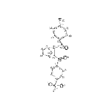 CS(=O)(=O)c1ccc(C(=O)C2C3CCC(C3)C2C(=O)c2ccc(F)cc2)cc1